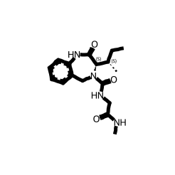 CC[C@H](C)[C@H]1C(=O)Nc2ccccc2CN1C(=O)NCC(=O)NC